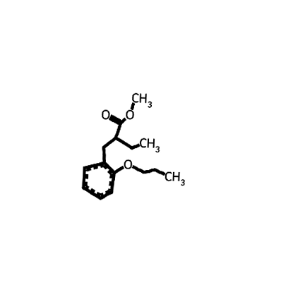 CCCOc1ccccc1CC(CC)C(=O)OC